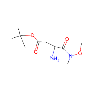 CON(C)C(=O)C(N)CC(=O)OC(C)(C)C